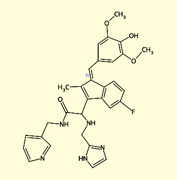 COc1cc(/C=C2/C(C)=C(C(NCc3ncc[nH]3)C(=O)NCc3cccnc3)c3cc(F)ccc32)cc(OC)c1O